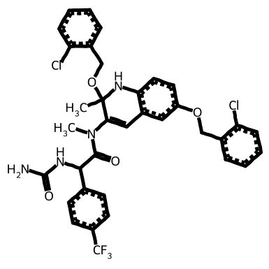 CN(C(=O)C(NC(N)=O)c1ccc(C(F)(F)F)cc1)C1=Cc2cc(OCc3ccccc3Cl)ccc2NC1(C)OCc1ccccc1Cl